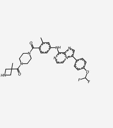 Cc1cc(Nc2nccn3c(-c4ccc(OC(F)F)cc4)cnc23)ccc1C(=O)N1CCN(C(=O)C2(C)CNC2)CC1